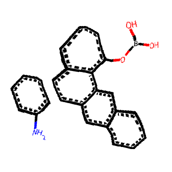 Nc1ccccc1.OB(O)Oc1cccc2ccc3cc4ccccc4cc3c12